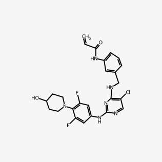 C=CC(=O)Nc1cccc(CNc2nc(Nc3cc(F)c(N4CCC(O)CC4)c(F)c3)ncc2Cl)c1